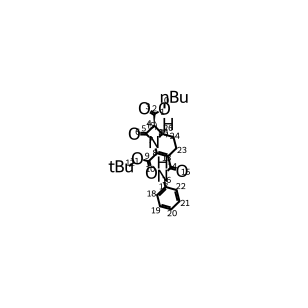 CCCCOC(=O)[C@@H]1C(=O)N2C(C(=O)OC(C)(C)C)=C(C(=O)Nc3ccccc3)CC[C@H]12